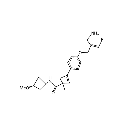 CO[C@H]1C[C@H](NC(=O)C2(C)C=C(c3ccc(OC/C(=C/F)CN)cc3)C2)C1